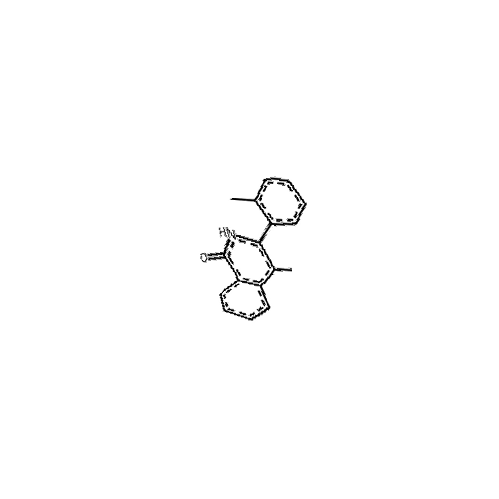 Cc1ccccc1-c1[nH]c(=O)c2ccccc2c1C